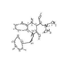 CN(C)C(=O)C1Nc2ccccc2N(Cc2ccccc2)C1=O